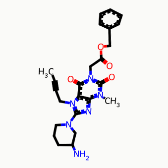 CC#CCn1c(N2CCCC(N)C2)nc2c1c(=O)n(CC(=O)OCc1ccccc1)c(=O)n2C